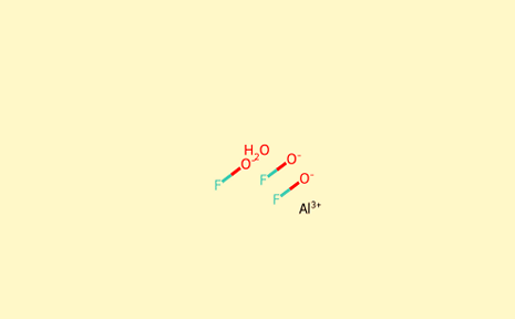 O.[Al+3].[O-]F.[O-]F.[O-]F